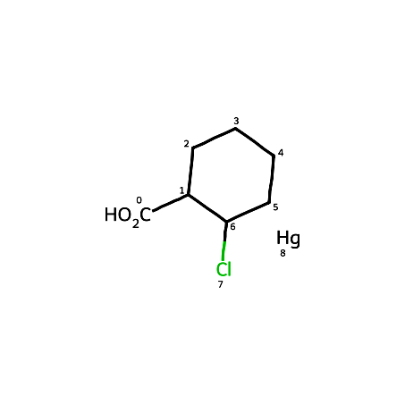 O=C(O)C1CCCCC1Cl.[Hg]